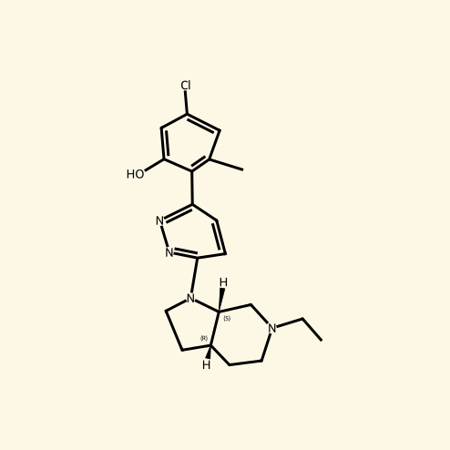 CCN1CC[C@@H]2CCN(c3ccc(-c4c(C)cc(Cl)cc4O)nn3)[C@@H]2C1